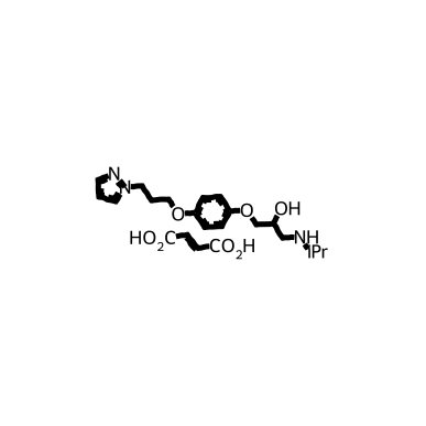 CC(C)NCC(O)COc1ccc(OCCCn2cccn2)cc1.O=C(O)C=CC(=O)O